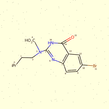 CC(C)CCN(C(=O)O)c1nc2ccc(Br)cc2c(=O)[nH]1